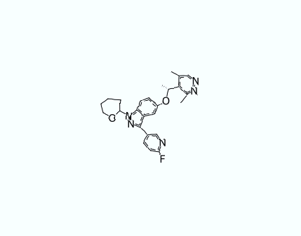 Cc1cnnc(C)c1[C@@H](C)Oc1ccc2c(c1)c(-c1ccc(F)nc1)nn2C1CCCCO1